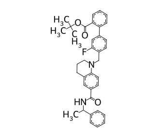 CC(NC(=O)c1ccc2c(c1)CCCN2Cc1ccc(-c2ccccc2C(=O)OC(C)(C)C)cc1F)c1ccccc1